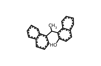 CC(c1cccc2ccccc12)c1c(O)ccc2ccccc12